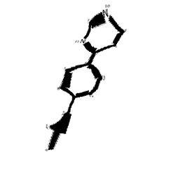 [CH2]C#Cc1ccc(-c2ccncn2)cc1